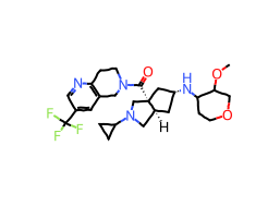 COC1COCCC1N[C@@H]1C[C@H]2CN(C3CC3)C[C@@]2(C(=O)N2CCc3ncc(C(F)(F)F)cc3C2)C1